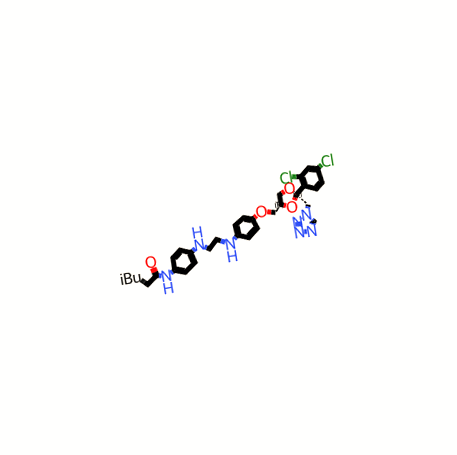 CCC(C)CC(=O)Nc1ccc(NCCNc2ccc(OC[C@@H]3CO[C@@](Cn4cnnn4)(c4ccc(Cl)cc4Cl)O3)cc2)cc1